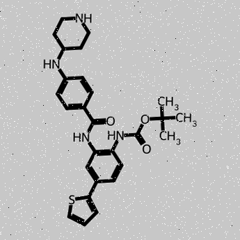 CC(C)(C)OC(=O)Nc1ccc(-c2cccs2)cc1NC(=O)c1ccc(NC2CCNCC2)cc1